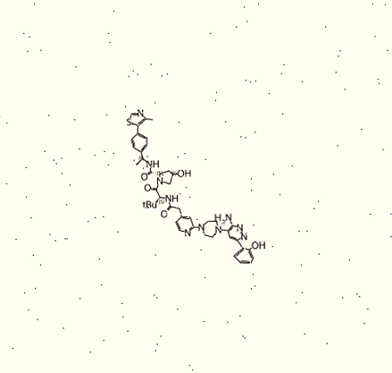 Cc1ncsc1-c1ccc([C@H](C)NC(=O)[C@@H]2C[C@@H](O)CN2C(=O)[C@@H](NC(=O)Cc2ccnc(N3CCN(c4cc(-c5ccccc5O)nnc4N)CC3)c2)C(C)(C)C)cc1